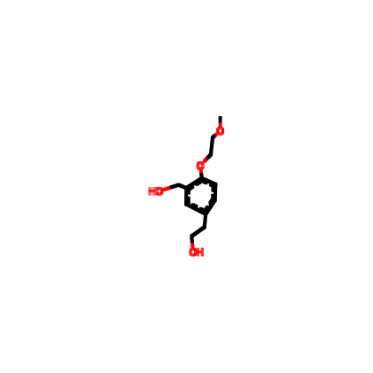 COCCOc1ccc(CCO)cc1CO